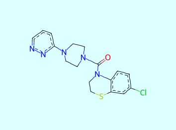 O=C(N1CCN(c2cccnn2)CC1)N1CCSc2cc(Cl)ccc21